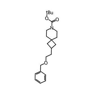 CC(C)(C)OC(=O)N1CCC2(CC1)CC(CCOCc1ccccc1)C2